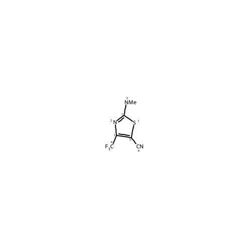 CNc1nc(C(F)(F)F)c(C#N)s1